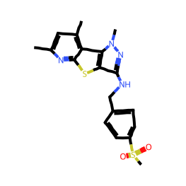 Cc1cc(C)c2c(n1)sc1c(NCc3ccc(S(C)(=O)=O)cc3)nn(C)c12